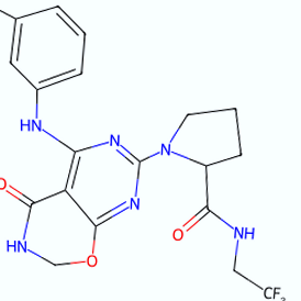 Cc1cccc(Nc2nc(N3CCCC3C(=O)NCC(F)(F)F)nc3c2C(=O)NCO3)c1